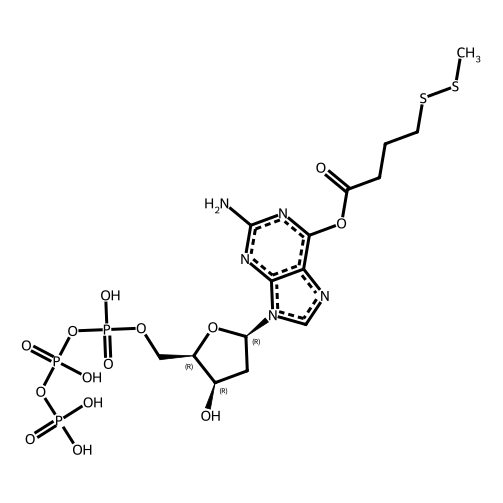 CSSCCCC(=O)Oc1nc(N)nc2c1ncn2[C@H]1C[C@@H](O)[C@@H](COP(=O)(O)OP(=O)(O)OP(=O)(O)O)O1